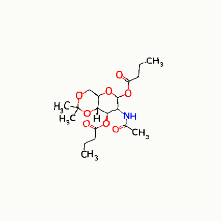 CCCC(=O)OC1OC2COC(C)(C)O[C@H]2[C@H](OC(=O)CCC)C1NC(C)=O